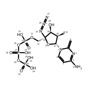 C=C1N=C(N)C=CN1[C@@H]1O[C@@](COP(=O)(O)OP(=O)(O)OP(=O)(O)O)(N=[N+]=[N-])[C@@H](O)[C@H]1F